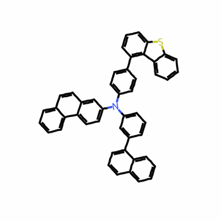 c1cc(-c2cccc3ccccc23)cc(N(c2ccc(-c3cccc4sc5ccccc5c34)cc2)c2ccc3c(ccc4ccccc43)c2)c1